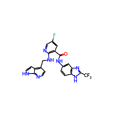 O=C(Nc1ccc2[nH]c(C(F)(F)F)nc2c1)c1cc(F)cnc1NCc1ccnc2[nH]ccc12